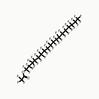 O=C(OC(F)(F)C(F)(F)C(F)(F)C(F)(F)C(F)(F)C(F)(F)C(F)(F)C(F)(F)C(F)(F)C(F)(F)C(F)(F)C(F)(F)C(F)(F)C(F)(F)C(F)(F)C(F)(F)C(F)(F)C(F)(F)F)C(F)(F)F